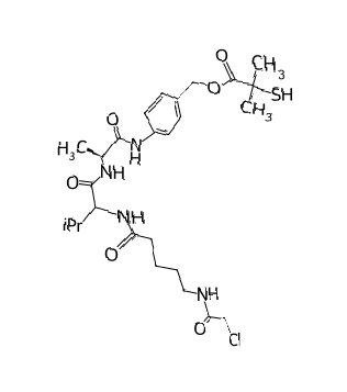 CC(C)C(NC(=O)CCCCNC(=O)CCl)C(=O)N[C@@H](C)C(=O)Nc1ccc(COC(=O)C(C)(C)S)cc1